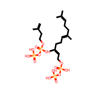 C=C(C)CCOP(=O)(O)OP(=O)(O)O.CC(C)=CCCC(C)=CCCC(C)=CCOP(=O)(O)OP(=O)(O)O